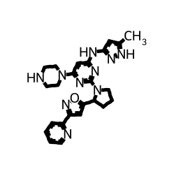 Cc1cc(Nc2cc(N3CCNCC3)nc(N3CCCC3c3cc(-c4ccccn4)no3)n2)n[nH]1